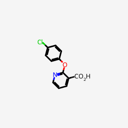 O=C(O)c1cccnc1Oc1ccc(Cl)cc1